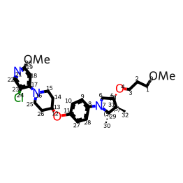 COCCCO[C@H]1CN(c2ccc(OC3CCN(c4cc(OC)ncc4Cl)CC3)cc2)[C@@H](C)[C@@H]1C